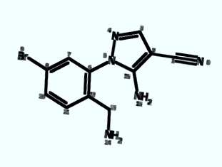 N#Cc1cnn(-c2cc(Br)ccc2CN)c1N